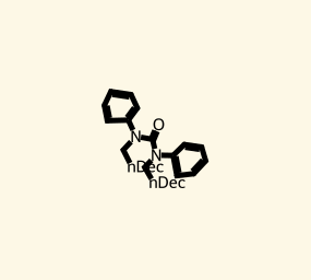 CCCCCCCCCCCN(C(=O)N(CCCCCCCCCCC)c1ccccc1)c1ccccc1